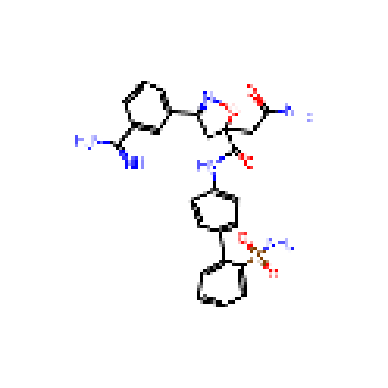 N=C(N)c1cccc(C2=NOC(CC(N)=O)(C(=O)Nc3ccc(-c4ccccc4S(N)(=O)=O)cc3)C2)c1